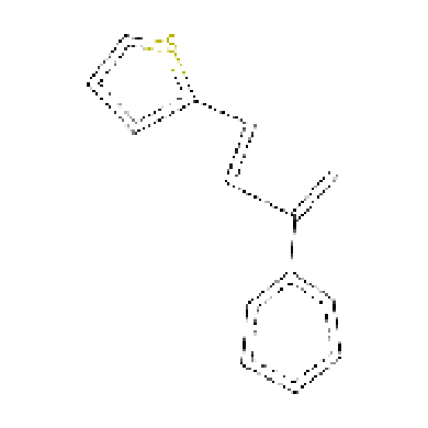 C=C(C=Cc1cccs1)c1ccccc1